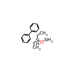 CC[SiH](CC)O[SiH3].c1ccc(-c2ccccc2)cc1